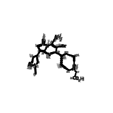 Cn1cc(-c2cnn3c(N)c(Br)c(C4CCN(CC(=O)O)CC4)nc23)cn1